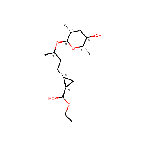 CCOC(O)[C@@H]1C[C@H]1CC[C@@H](C)O[C@@H]1O[C@@H](C)[C@H](O)C[C@H]1C